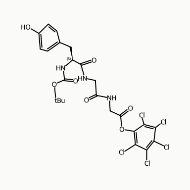 CC(C)(C)OC(=O)N[C@@H](Cc1ccc(O)cc1)C(=O)NCC(=O)NCC(=O)Oc1c(Cl)c(Cl)c(Cl)c(Cl)c1Cl